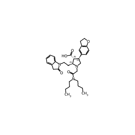 CCCCN(CCCC)C(=O)CN1C[C@H](c2ccc3c(c2)CCO3)[C@@H](C(=O)O)[C@@H]1CCN1C(=O)Cc2ccccc21